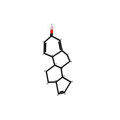 O=C1C=CC2C(=C1)CCC1C3CC=CC3CCC21